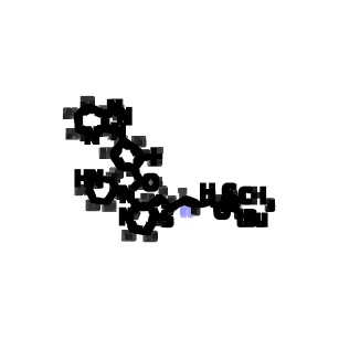 CC(C)(C)[Si](C)(C)OC/C=C/c1cc2c(N(C(=O)c3ccc(-n4nnc5cccnc54)cc3F)[C@@H]3CCCNC3)nccc2s1